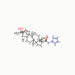 COC[C@]12CC[C@@](C)(O)C[C@@H]1CC[C@H]1[C@@H]3CC[C@H](C(=O)Cn4nccn4)[C@@]3(C)CC[C@@H]12